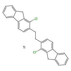 Clc1c(CCc2ccc3c(c2Cl)Cc2ccccc2-3)ccc2c1Cc1ccccc1-2.[Ti]